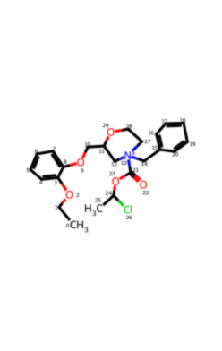 CCOc1ccccc1OCC1C[N+](Cc2ccccc2)(C(=O)OC(C)Cl)CCO1